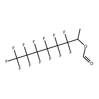 CC(OC=O)C(F)(F)C(F)(F)C(F)(F)C(F)(F)C(F)(F)C(F)(F)F